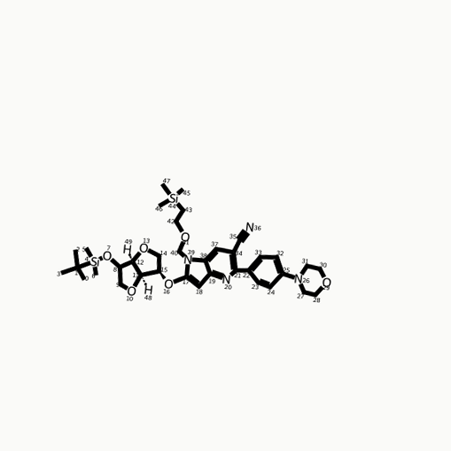 CC(C)(C)[Si](C)(C)OC1CO[C@H]2[C@@H]1OC[C@H]2Oc1cc2nc(-c3ccc(N4CCOCC4)cc3)c(C#N)cc2n1COCC[Si](C)(C)C